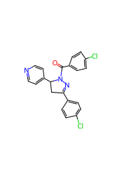 O=C(c1ccc(Cl)cc1)N1N=C(c2ccc(Cl)cc2)CC1c1ccncc1